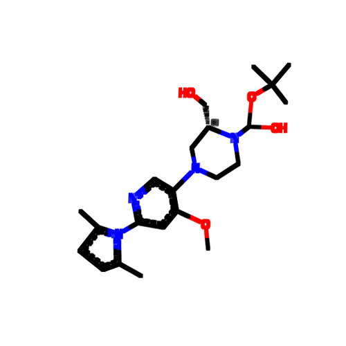 COc1cc(-n2c(C)ccc2C)ncc1N1CCN(C(O)OC(C)(C)C)[C@@H](CO)C1